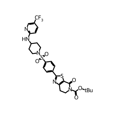 CC(C)(C)OC(=O)N1CCc2nc(-c3ccc(S(=O)(=O)N4CCC(Nc5ccc(C(F)(F)F)cn5)CC4)cc3)sc2C1=O